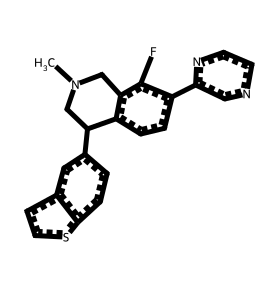 CN1Cc2c(ccc(-c3cnccn3)c2F)C(c2ccc3sccc3c2)C1